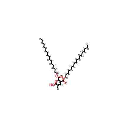 CCCCCCCCCCCCCCCCCCOC(=O)C=C(C=C(C)C(=O)O)C(=O)OCCCCCCCCCCCCCCCCCC